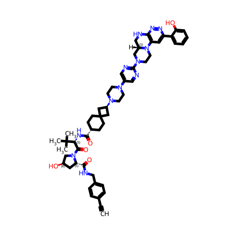 C#Cc1ccc(CNC(=O)[C@@H]2C[C@@H](O)CN2C(=O)[C@@H](NC(=O)[C@H]2CCC3(CC2)C[C@H](N2CCN(c4cnc(N5CCN6c7cc(-c8ccccc8O)nnc7NC[C@H]6C5)nc4)CC2)C3)C(C)(C)C)cc1